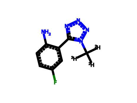 [2H]C([2H])([2H])n1nnnc1-c1cc(F)ccc1N